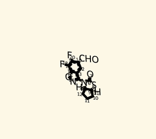 O=Cc1cc2c(N3C(=O)S[C@H]4CCC[C@H]43)noc2c(F)c1F